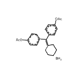 B.CC(=O)Oc1ccc(C(=C2CCCCC2)c2ccc(OC(C)=O)cc2)cc1